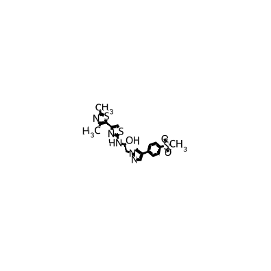 Cc1nc(C)c(-c2csc(NC(O)Cn3cc(-c4ccc(S(C)(=O)=O)cc4)cn3)n2)s1